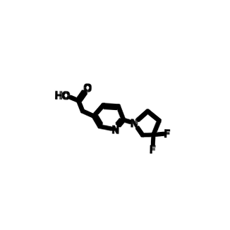 O=C(O)Cc1ccc(N2CCC(F)(F)C2)nc1